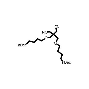 CCCCCCCCCCCCCCOCC(CC#N)(CC#N)COCCCCCCCCCCCCCC